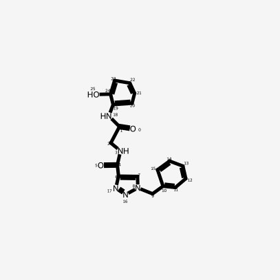 O=C(CNC(=O)c1cn(Cc2ccccc2)nn1)Nc1ccccc1O